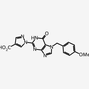 COc1ccc(Cn2cnc3nc(-n4cc(C(=O)O)cn4)[nH]c(=O)c32)cc1